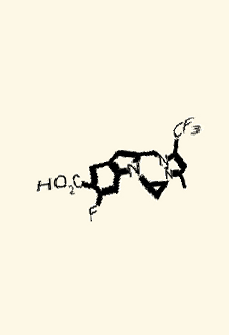 Cc1cc(C(F)(F)F)n(Cc2cc3cc(C(=O)O)c(F)cc3n2C2CC2)n1